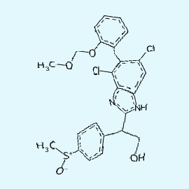 COCOc1ccccc1-c1c(Cl)cc2[nH]c(C(CO)c3ccc([S+](C)[O-])cc3)nc2c1Cl